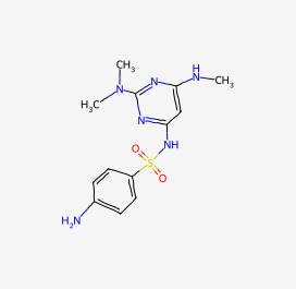 CNc1cc(NS(=O)(=O)c2ccc(N)cc2)nc(N(C)C)n1